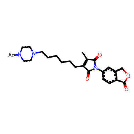 CC(=O)N1CCN(CCCCCCC2=C(C)C(=O)N(c3ccc4c(c3)COC4=O)C2=O)CC1